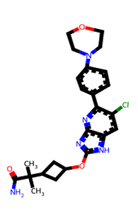 CC(C)(C(N)=O)C1CC(Oc2nc3nc(-c4ccc(N5CCOCC5)cc4)c(Cl)cc3[nH]2)C1